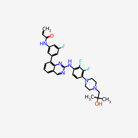 C=CC(=O)Nc1cc(F)cc(-c2cccc3cnc(Nc4ccc(N5CCN(CC(C)(C)O)CC5)c(F)c4F)nc23)c1